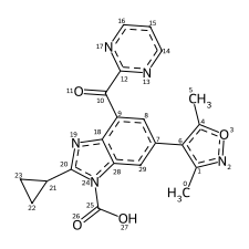 Cc1noc(C)c1-c1cc(C(=O)c2ncccn2)c2nc(C3CC3)n(C(=O)O)c2c1